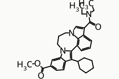 CCN(CC)C(=O)c1cn2c3c(cccc13)-c1c(C3CCCCC3)c3ccc(C(=O)OC)cc3n1CCC2